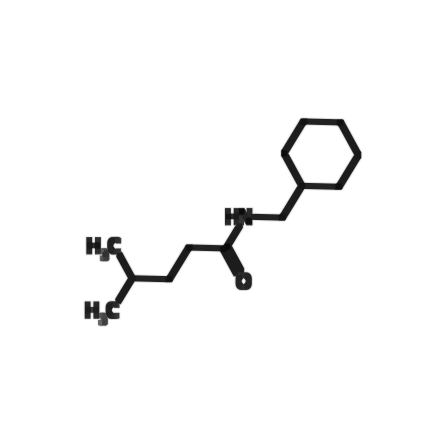 CC(C)CCC(=O)NCC1CCCCC1